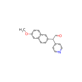 COc1ccc2cc(C(C=O)c3ccncc3)ccc2c1